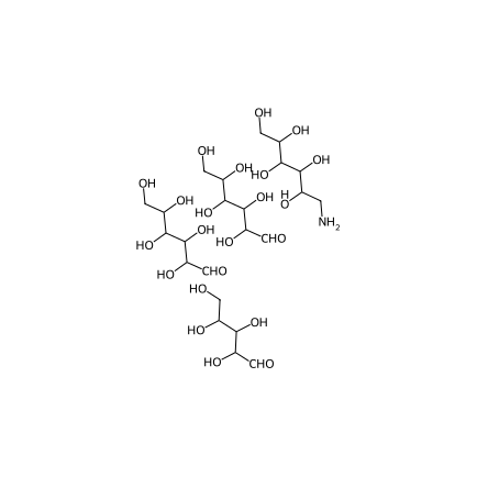 NCC(O)C(O)C(O)C(O)CO.O=CC(O)C(O)C(O)C(O)CO.O=CC(O)C(O)C(O)C(O)CO.O=CC(O)C(O)C(O)CO